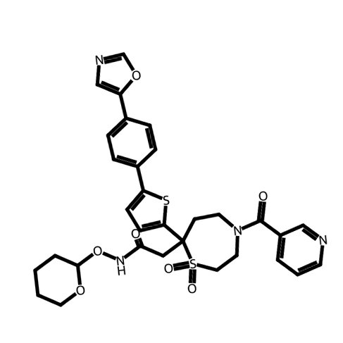 O=C(CC1(c2ccc(-c3ccc(-c4cnco4)cc3)s2)CCN(C(=O)c2cccnc2)CCS1(=O)=O)NOC1CCCCO1